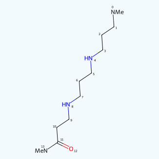 CNCCCNCCCNCCC(=O)NC